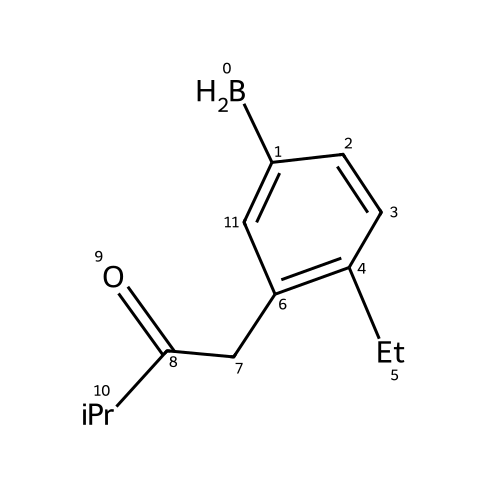 Bc1ccc(CC)c(CC(=O)C(C)C)c1